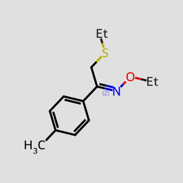 CCO/N=C(\CSCC)c1ccc(C)cc1